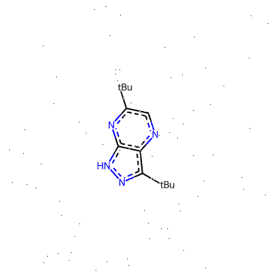 CC(C)(C)c1cnc2c(C(C)(C)C)n[nH]c2n1